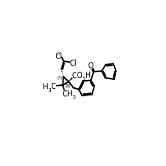 CC1(C)[C@H](C=C(Cl)Cl)[C@@]1(Cc1cccc(C(=O)c2ccccc2)c1)C(=O)O